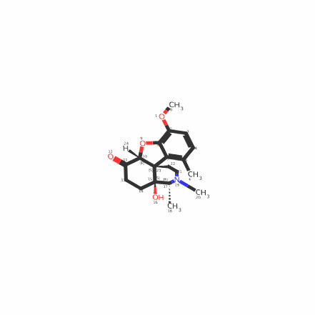 COc1ccc(C)c2c1O[C@H]1C(=O)CC[C@@]3(O)[C@@H](C)N(C)CC[C@]213